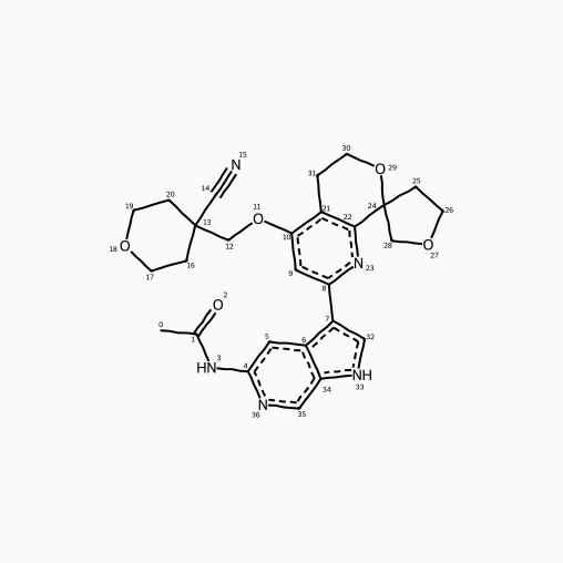 CC(=O)Nc1cc2c(-c3cc(OCC4(C#N)CCOCC4)c4c(n3)C3(CCOC3)OCC4)c[nH]c2cn1